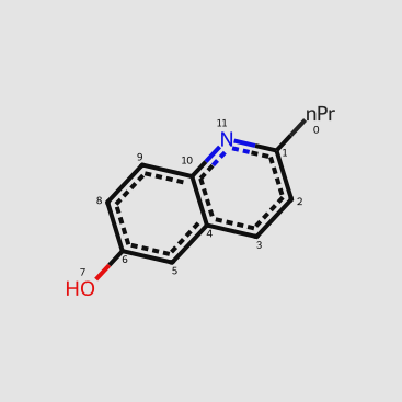 CCCc1ccc2cc(O)ccc2n1